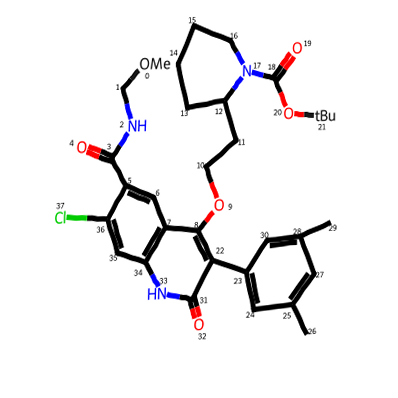 COCNC(=O)c1cc2c(OCCC3CCCCN3C(=O)OC(C)(C)C)c(-c3cc(C)cc(C)c3)c(=O)[nH]c2cc1Cl